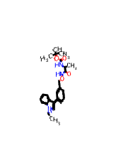 CCn1cc(-c2cccc(CONC(=O)C(C)NC(=O)OC(C)(C)C)c2)c2ccccc21